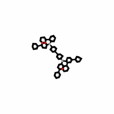 c1ccc(-c2ccc(N(c3ccc(-c4ccc(N(c5ccc(-c6ccccc6)cc5)c5ccc(-c6ccccc6)cc5-c5ccccn5)cc4)cc3)c3ccccc3-c3ccccn3)cc2)cc1